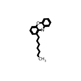 CCCCCCCc1cccc2c1[N]c1ccccc1O2